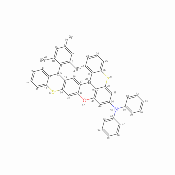 CC(C)c1cc(C(C)C)c(B2c3ccccc3Sc3cc4c(cc32)B2c3ccccc3Sc3cc(N(c5ccccc5)c5ccccc5)cc(c32)O4)c(C(C)C)c1